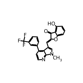 Cn1cc(/C=C2\Oc3cccc(O)c3C2=O)c2c(-c3cccc(C(F)(F)F)c3)ccnc21